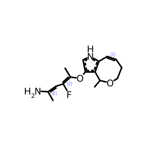 C/C(Oc1c[nH]c2c1C(C)OCC/C=C\2)=C(F)\C=C(/C)N